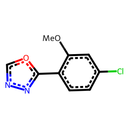 COc1cc(Cl)ccc1-c1nnco1